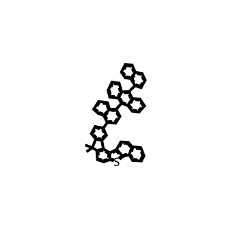 CC1(C)c2ccc(-c3ccc(-c4c5ccccc5c(-c5cccc6ccccc56)c5ccccc45)c4ccccc34)cc2-c2c1ccc1sc3c4ccccc4ccc3c21